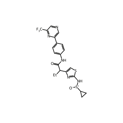 CCC(C(=O)Nc1ccc(-c2cncc(C(F)(F)F)n2)cc1)c1csc(N[S+]([O-])C2CC2)n1